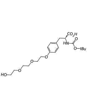 CC(C)(C)OC(=O)N[C@@H](Cc1ccc(OCCOCCOCCO)cc1)C(=O)O